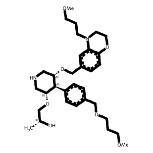 COCCCOCc1ccc([C@@H]2[C@@H](OCc3ccc4c(c3)N(CCCOC)CCO4)CNC[C@H]2OC[C@@H](C)O)cc1